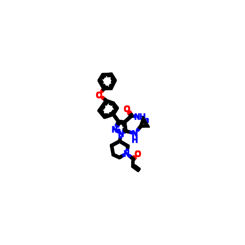 C=CC(=O)N1CCCC(n2nc(-c3ccc(Oc4ccccc4)cc3)c(C(N)=O)c2NC2CC2)C1